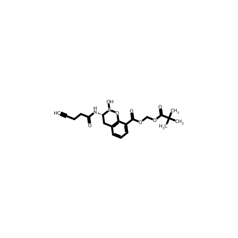 C#CCCC(=O)N[C@H]1Cc2cccc(C(=O)OCOC(=O)C(C)(C)C)c2OB1O